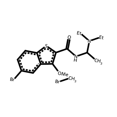 CBr.CCN(CC)C(C)NC(=O)c1sc2ccc(Br)cc2c1OC